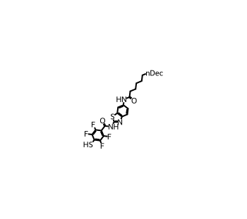 CCCCCCCCCCCCCCCC(=O)Nc1ccc2nc(NC(=O)c3c(F)c(F)c(S)c(F)c3F)sc2c1